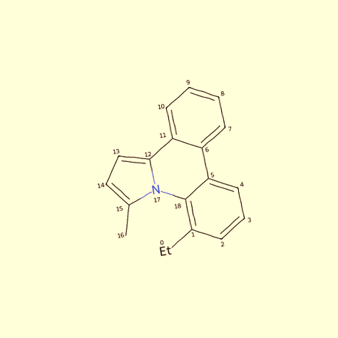 CCc1cccc2c3ccccc3c3ccc(C)n3c12